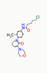 Cc1cc(NC(=O)CCCCCl)ccc1N1CCC=C(N2CCOCC2)C1=O